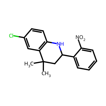 CC1(C)CC(c2ccccc2[N+](=O)[O-])Nc2ccc(Cl)cc21